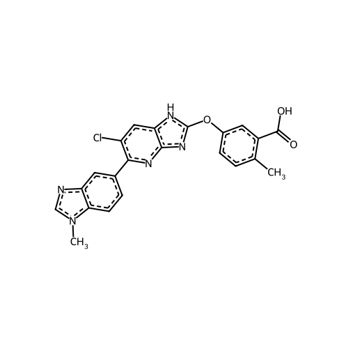 Cc1ccc(Oc2nc3nc(-c4ccc5c(c4)ncn5C)c(Cl)cc3[nH]2)cc1C(=O)O